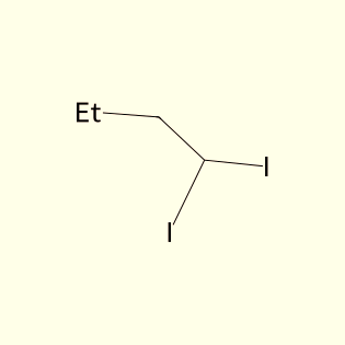 [CH2]CCC(I)I